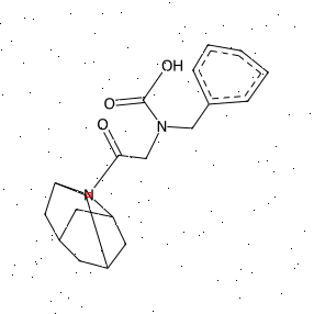 O=C(O)N(CC(=O)N1C2CC3CC(C2)CC1C3)Cc1ccccc1